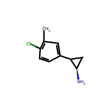 Cc1cc(C2C[C@H]2N)ccc1Cl